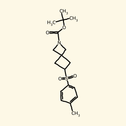 Cc1ccc(S(=O)(=O)C2CC3(C2)CN(C(=O)OC(C)(C)C)C3)cc1